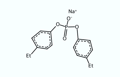 CCc1ccc(OP(=O)([O-])Oc2ccc(CC)cc2)cc1.[Na+]